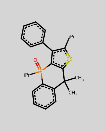 CC(C)c1sc2c(c1-c1ccccc1)P(=O)(C(C)C)c1ccccc1C2(C)C